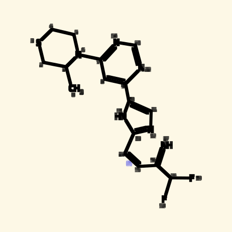 CC1CSCCN1c1cc(-c2cnc(/C=C\C(=N)C(F)F)[nH]2)ncn1